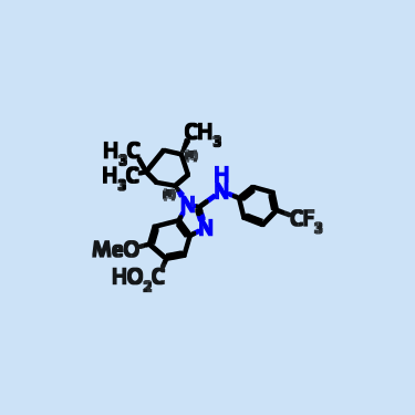 COc1cc2c(cc1C(=O)O)nc(Nc1ccc(C(F)(F)F)cc1)n2[C@@H]1C[C@H](C)CC(C)(C)C1